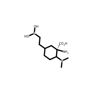 CN(C)C1CCC(CCB(O)O)C[C@]1(N)C(=O)O